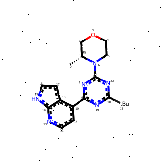 C[C@@H]1COCCN1c1nc(-c2ccnc3[nH]ccc23)nc(C(C)(C)C)n1